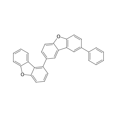 c1ccc(-c2ccc3oc4ccc(-c5cccc6oc7ccccc7c56)cc4c3c2)cc1